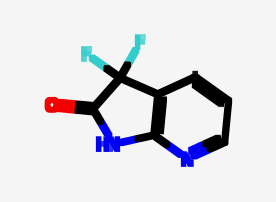 O=C1Nc2ncc[c]c2C1(F)F